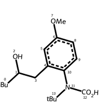 CCC(C)C(O)Cc1cc(OC)ccc1N(C(=O)O)C(C)(C)C